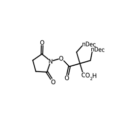 CCCCCCCCCCCC(CCCCCCCCCCC)(C(=O)O)C(=O)ON1C(=O)CCC1=O